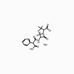 CC1(C)S[C@H]2C(NC(=O)C(C(=O)O)c3ccccc3)C(=O)N2C1C(=O)[O-].[Na+]